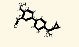 CC(=C1CC1)c1ccc(-c2ccc(CO)c(C=O)c2)cc1